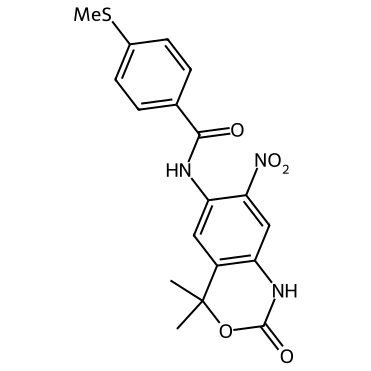 CSc1ccc(C(=O)Nc2cc3c(cc2[N+](=O)[O-])NC(=O)OC3(C)C)cc1